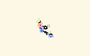 CC1c2nnc(C3CC4(C3)CN(c3ncncc3F)C4)n2-c2ccc(Cl)cc2CN1C(=O)OC(CF)CF